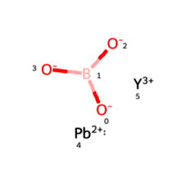 [O-]B([O-])[O-].[Pb+2].[Y+3]